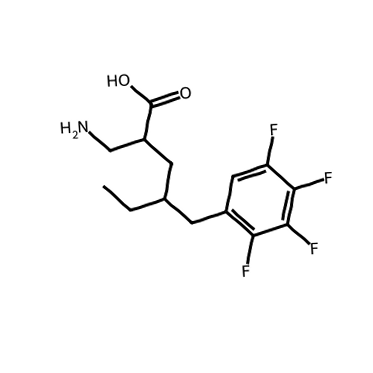 CCC(Cc1cc(F)c(F)c(F)c1F)CC(CN)C(=O)O